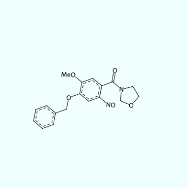 COc1cc(C(=O)N2CCOC2)c(N=O)cc1OCc1ccccc1